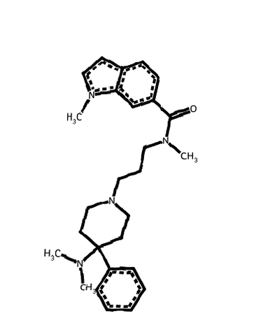 CN(CCCN1CCC(c2ccccc2)(N(C)C)CC1)C(=O)c1ccc2ccn(C)c2c1